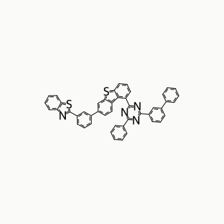 c1ccc(-c2cccc(-c3nc(-c4ccccc4)nc(-c4cccc5sc6cc(-c7cccc(-c8nc9ccccc9s8)c7)ccc6c45)n3)c2)cc1